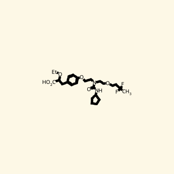 CCOC(Cc1ccc(OCCN(CCOCCC(C)(F)F)C(=O)NC2CCCC2)cc1)C(=O)O